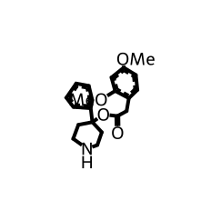 COc1ccc(CC(=O)OC2(c3ccccc3)CCNCC2)c(OC)c1